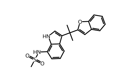 CC(C)(c1cc2ccccc2o1)c1c[nH]c2c(NS(C)(=O)=O)cccc12